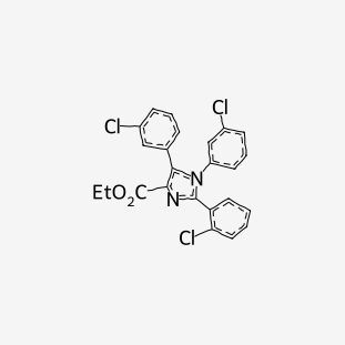 CCOC(=O)c1nc(-c2ccccc2Cl)n(-c2cccc(Cl)c2)c1-c1cccc(Cl)c1